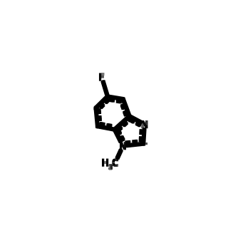 Cn1[c]nc2cc(F)ccc21